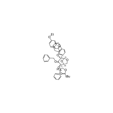 CCOc1ccc(Cc2cc([C@]34OC[C@](C(C)OC(=O)C(C)(C)C)(O3)[C@@H](OCc3ccccc3)[C@H](OCc3ccccc3)[C@H]4OCc3ccccc3)ccc2Cl)cc1